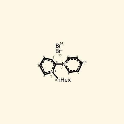 CCCCCC[n+]1ccccc1-[n+]1ccccc1.[Br-].[Br-]